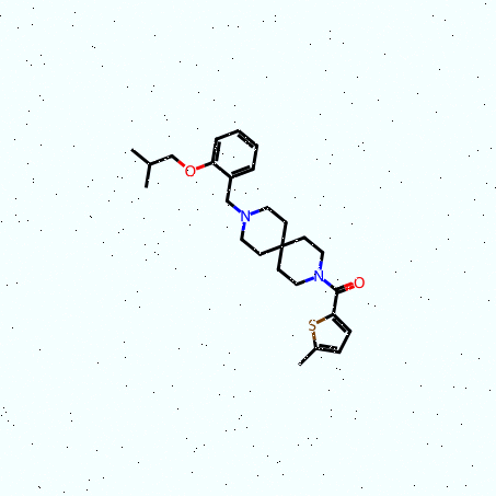 Cc1ccc(C(=O)N2CCC3(CCN(Cc4ccccc4OCC(C)C)CC3)CC2)s1